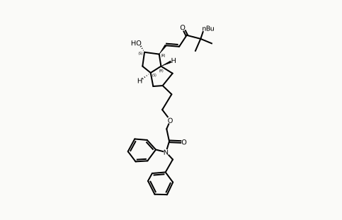 CCCCC(C)(C)C(=O)C=C[C@H]1[C@@H]2CC(CCOCC(=O)N(Cc3ccccc3)c3ccccc3)C[C@H]2C[C@@H]1O